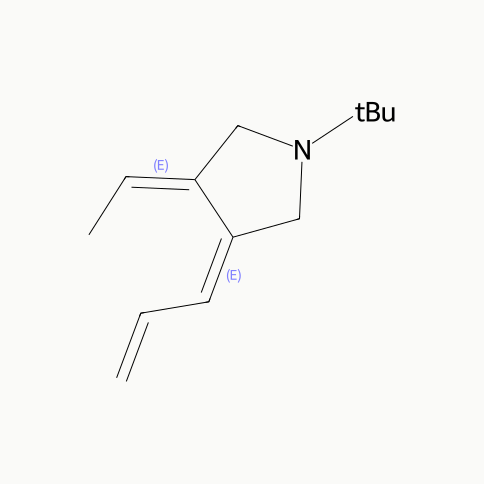 C=C/C=C1/CN(C(C)(C)C)C/C1=C/C